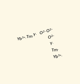 [O-2].[O-2].[O-2].[Tm].[Tm].[Y].[Y].[Yb+3].[Yb+3]